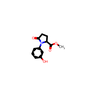 COC(=O)C1CCC(=O)N1c1cccc(O)c1